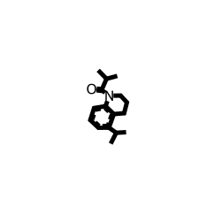 CC(C)C(=O)N1CCCc2c(C(C)C)cccc21